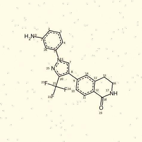 Nc1cccc(-n2cc(-c3ccc4c(c3)CCNC4=O)c(C(F)(F)F)n2)c1